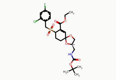 CCOC(=O)C1=CC2(CCC1S(=O)(=O)Cc1ccc(F)cc1Cl)OC[C@@H](CNC(=O)OC(C)(C)C)O2